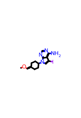 COC=C1CCC(n2cc(I)c3c(N)ncnc32)CC1